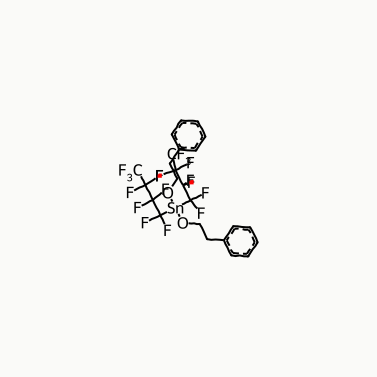 FC(F)(F)C(F)(F)C(F)(F)[C](F)(F)[Sn]([O]CCc1ccccc1)([O]CCc1ccccc1)[C](F)(F)C(F)(F)C(F)(F)C(F)(F)F